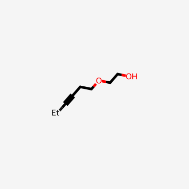 CCC#CCCOCCO